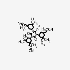 CC1(C)CC(n2c(=O)n(C3CC(C)(C)CC(C)(COC#N)C3)c(=O)n(C3CC(C)(C)CC(C)(COC#N)C3)c2=O)CC(C)(COC#N)C1